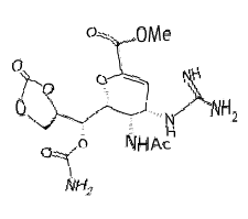 COC(=O)C1=C[C@H](NC(=N)N)[C@H](NC(C)=O)[C@H]([C@H](OC(N)=O)[C@H]2COC(=O)O2)O1